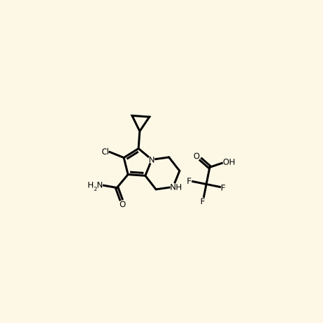 NC(=O)c1c(Cl)c(C2CC2)n2c1CNCC2.O=C(O)C(F)(F)F